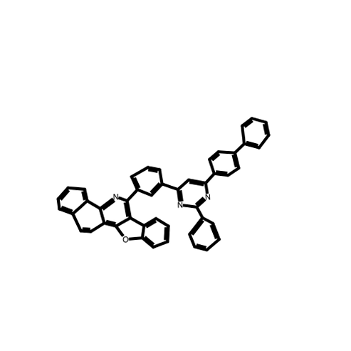 c1ccc(-c2ccc(-c3cc(-c4cccc(-c5nc6c7ccccc7ccc6c6oc7ccccc7c56)c4)nc(-c4ccccc4)n3)cc2)cc1